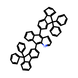 c1ccc(C2(c3ccccc3)c3ccccc3-c3ccc(-c4c5ccccc5c(-c5ccc6c(c5)C(c5ccccc5)(c5ccccc5)c5ccccc5-6)c5ncccc45)cc32)cc1